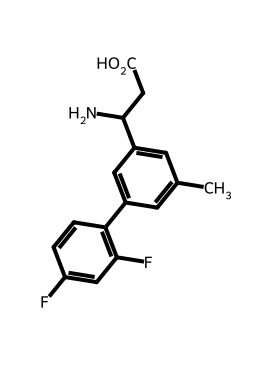 Cc1cc(-c2ccc(F)cc2F)cc(C(N)CC(=O)O)c1